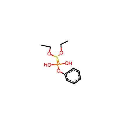 CCOS(OCC)=P(O)(O)Oc1ccccc1